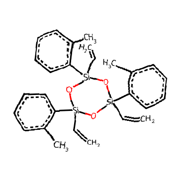 C=C[Si]1(c2ccccc2C)O[Si](C=C)(c2ccccc2C)O[Si](C=C)(c2ccccc2C)O1